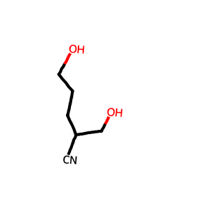 N#CC(CO)CCCO